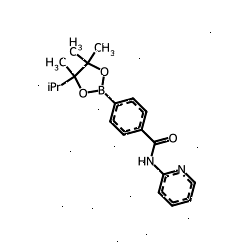 CC(C)C1(C)OB(c2ccc(C(=O)Nc3ccccn3)cc2)OC1(C)C